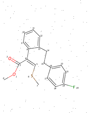 COC(=O)C(=CSC)c1ccccc1CCc1ccc(F)cc1